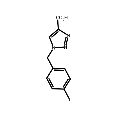 CCOC(=O)c1cn(Cc2ccc(I)cc2)nn1